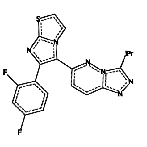 CC(C)c1nnc2ccc(-c3c(-c4ccc(F)cc4F)nc4sccn34)nn12